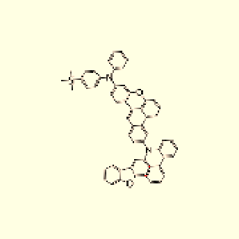 C[Si](C)(C)c1ccc(N(c2ccccc2)c2ccc3c(c2)Oc2cccc4c2c-3cc2ccc(N(c3ccc5oc6ccccc6c5c3)c3ccccc3-c3ccccc3)cc24)cc1